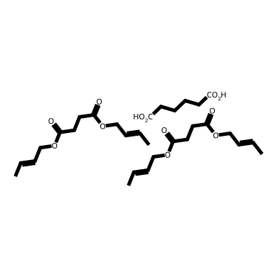 CC=CCOC(=O)CCC(=O)OCC=CC.CC=CCOC(=O)CCC(=O)OCC=CC.O=C(O)CCCCC(=O)O